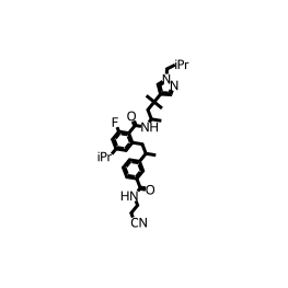 CC(C)Cn1cc(C(C)(C)CC(C)NC(=O)c2c(F)cc(C(C)C)cc2CC(C)c2cccc(C(=O)NCCC#N)c2)cn1